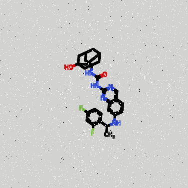 CC(Nc1ccc2cnc(NC(=O)NC34CC5CC(CC(O)(C5)C3)C4)nc2c1)c1ccc(F)cc1F